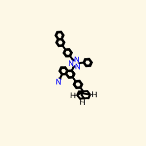 N#Cc1cccc2c(-c3nc(-c4ccccc4)nc(-c4ccc(-c5ccc6ccccc6c5)cc4)n3)cc(-c3ccc(C45C[C@H]6C[C@H](C4)C[C@@H](C5)C6)cc3)cc12